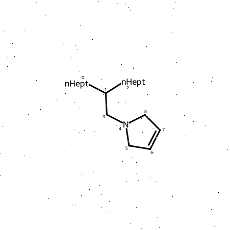 CCCCCCCC(CCCCCCC)CN1CC=CC1